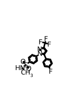 CNS(=O)(=O)c1ccc(-n2nc(C(F)(F)F)cc2-c2ccc(F)cc2)cc1